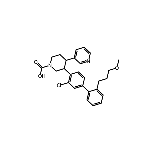 COCCCc1ccccc1-c1ccc(C2CN(C(=O)O)CCC2c2cccnc2)c(Cl)c1